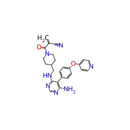 C=C(C#N)C(=O)N1CCC(CNc2ncnc(N)c2-c2ccc(Oc3ccncc3)cc2)CC1